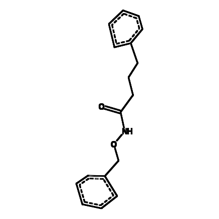 O=C(CCCc1ccccc1)NOCc1ccccc1